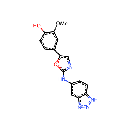 COc1cc(-c2cnc(Nc3ccc4[nH]nnc4c3)o2)ccc1O